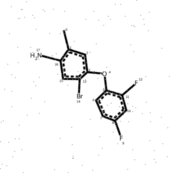 Cc1cc(Oc2ccc(F)cc2F)c(Br)cc1N